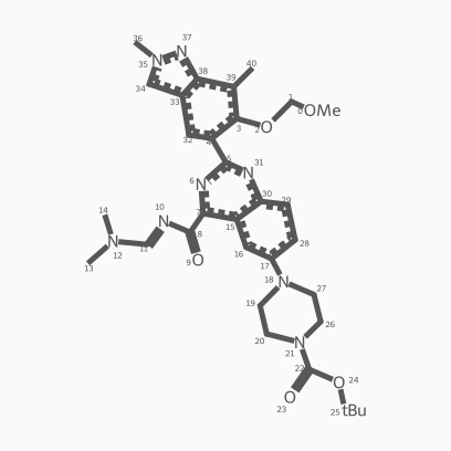 COCOc1c(-c2nc(C(=O)N=CN(C)C)c3cc(N4CCN(C(=O)OC(C)(C)C)CC4)ccc3n2)cc2cn(C)nc2c1C